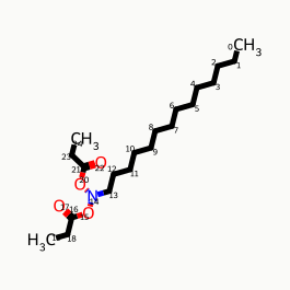 CCCCCCCCCCCCCCN(OC(=O)CC)OC(=O)CC